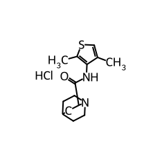 Cc1csc(C)c1NC(=O)C1CC2CCN1CC2.Cl